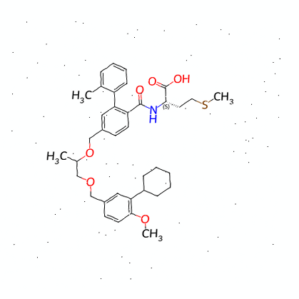 COc1ccc(COCC(C)OCc2ccc(C(=O)N[C@@H](CCSC)C(=O)O)c(-c3ccccc3C)c2)cc1C1CCCCC1